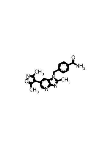 Cc1noc(C)c1-c1cnc2nc(C)n(Cc3ccc(C(N)=O)cc3)c2c1